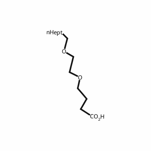 CCCCCCCCOCCOCCCC(=O)O